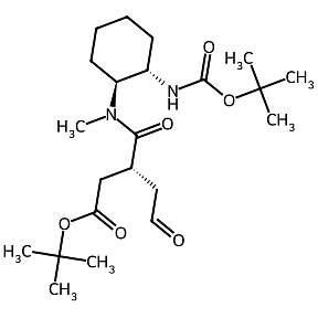 CN(C(=O)[C@H](CC=O)CC(=O)OC(C)(C)C)[C@H]1CCCC[C@@H]1NC(=O)OC(C)(C)C